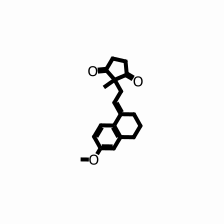 COc1ccc2c(c1)CCC/C2=C\CC1(C)C(=O)CCC1=O